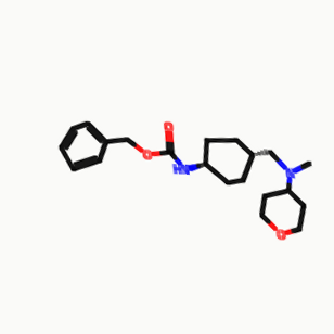 CN(C[C@H]1CC[C@H](NC(=O)OCc2ccccc2)CC1)C1CCOCC1